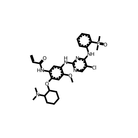 C=CC(=O)Nc1cc(Nc2ncc(Cl)c(Nc3ccccc3P(C)(C)=O)n2)c(OC)cc1OC1CCCCC1N(C)C